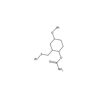 CC(C)OC1CCC(OC(N)=O)C(CSC(C)C)C1